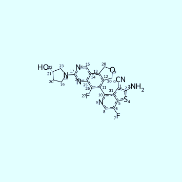 N#Cc1c(N)sc2c(F)cnc(-c3c4c(c5cnc(N6CC[C@H](O)C6)nc5c3F)COC4)c12